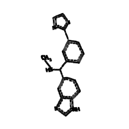 CNC(c1cccc(-c2nccs2)c1)c1ccc2[nH]cnc2c1